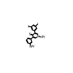 CCCc1cccc(-c2cn(CCC)cc(-c3cc(I)cc(I)c3)c2=S)c1